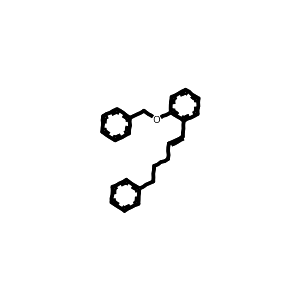 C(=Cc1ccccc1OCc1ccccc1)CCCc1ccccc1